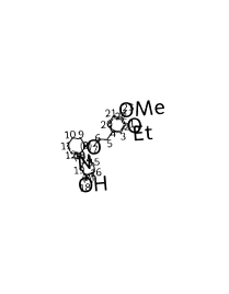 CCOc1cc(CCO[C@@H]2CCCC[C@H]2N2CC[C@@H](O)C2)ccc1OC